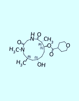 C[C@@H]1C[C@@H](O)CC[C@H](OC(=O)C2CCOCC2)[C@@H](C)C(=O)NCC(=O)N(C)C1